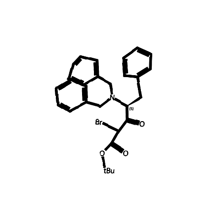 CC(C)(C)OC(=O)C(Br)C(=O)[C@H](Cc1ccccc1)N(Cc1ccccc1)Cc1ccccc1